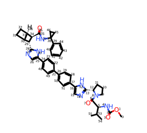 COC(=O)N[C@H](C(=O)N1CCC[C@H]1c1ncc(-c2ccc(-c3ccc(-c4cnc([C@@H]5C6CC[C@H]6[C@H]5C(=O)NC5(c6ccccc6)CC5)[nH]4)cc3)cc2)[nH]1)C(C)C